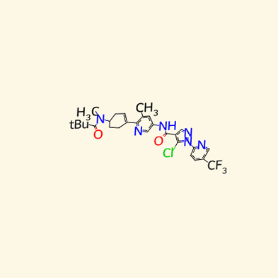 Cc1cc(NC(=O)c2cnn(-c3ccc(C(F)(F)F)cn3)c2Cl)cnc1C1=CCC(N(C)C(=O)C(C)(C)C)CC1